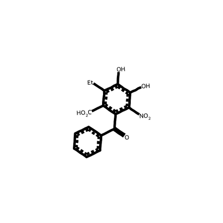 CCc1c(O)c(O)c([N+](=O)[O-])c(C(=O)c2ccccc2)c1C(=O)O